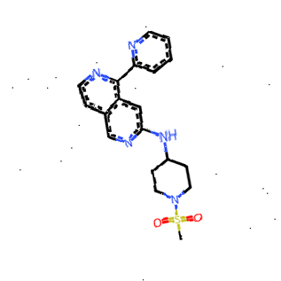 CS(=O)(=O)N1CCC(Nc2cc3c(-c4ccccn4)nccc3cn2)CC1